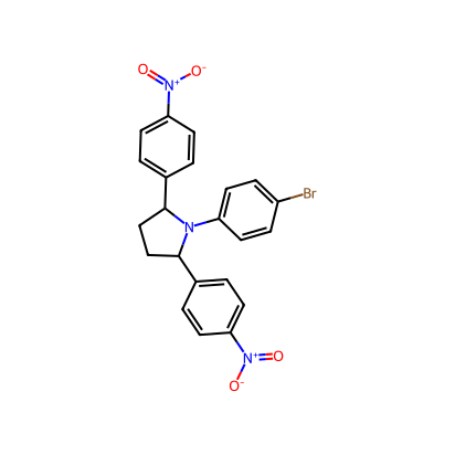 O=[N+]([O-])c1ccc(C2CCC(c3ccc([N+](=O)[O-])cc3)N2c2ccc(Br)cc2)cc1